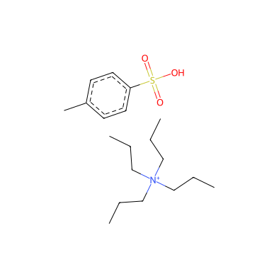 CCC[N+](CCC)(CCC)CCC.Cc1ccc(S(=O)(=O)O)cc1